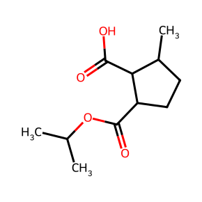 CC(C)OC(=O)C1CCC(C)C1C(=O)O